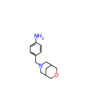 Nc1ccc(CN2CC3COCC(C3)C2)cc1